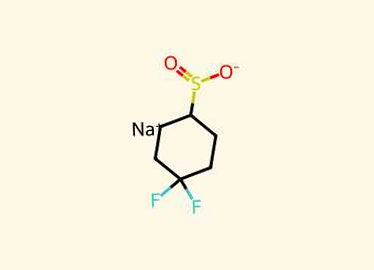 O=S([O-])C1CCC(F)(F)CC1.[Na+]